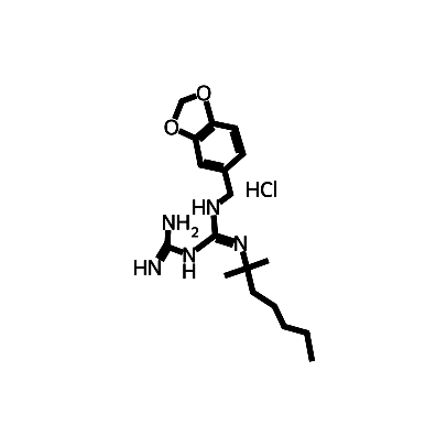 CCCCCC(C)(C)N=C(NCc1ccc2c(c1)OCO2)NC(=N)N.Cl